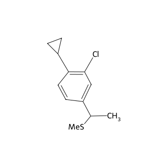 CSC(C)c1ccc(C2CC2)c(Cl)c1